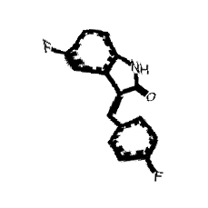 O=C1Nc2ccc(F)cc2C1=Cc1ccc(F)cc1